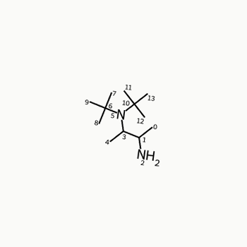 CC(N)C(C)N(C(C)(C)C)C(C)(C)C